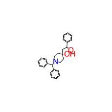 O=C(CC1(O)CCN(C(c2ccccc2)c2ccccc2)CC1)c1ccccc1